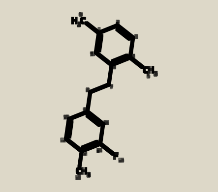 Cc1ccc(C)c(CCc2ccc(C)c(F)c2)c1